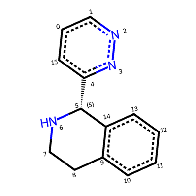 c1cnnc([C@H]2NCCc3ccccc32)c1